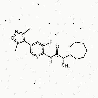 Cc1noc(C)c1-c1cnc(NC(=O)[C@@H](N)C2CCCCCC2)c(F)c1